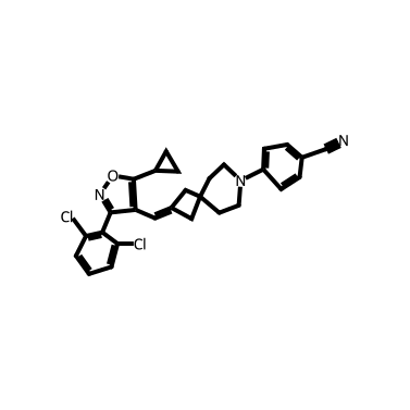 N#Cc1ccc(N2CCC3(CC2)CC(=Cc2c(-c4c(Cl)cccc4Cl)noc2C2CC2)C3)cc1